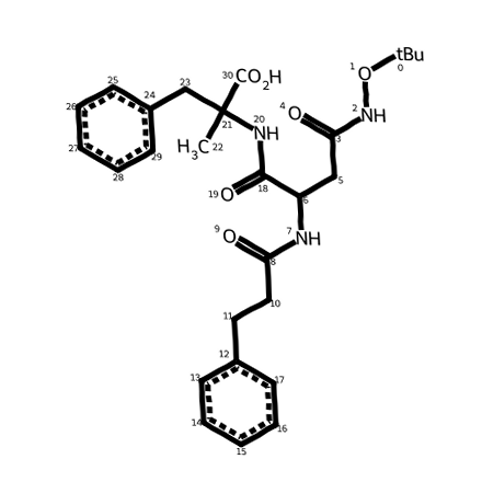 CC(C)(C)ONC(=O)CC(NC(=O)CCc1ccccc1)C(=O)NC(C)(Cc1ccccc1)C(=O)O